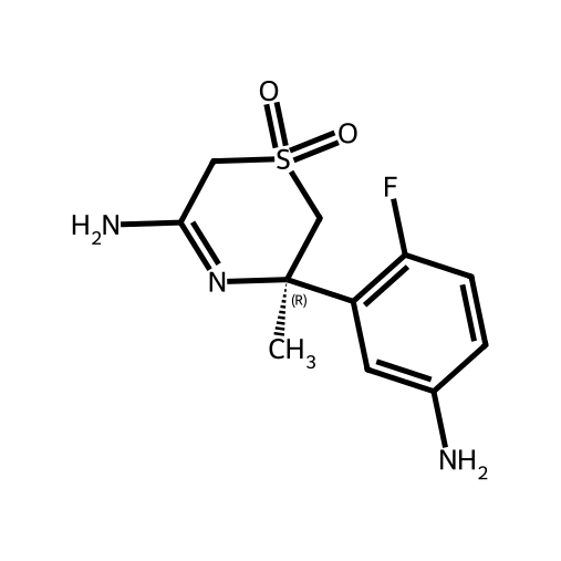 C[C@@]1(c2cc(N)ccc2F)CS(=O)(=O)CC(N)=N1